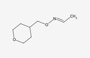 CC=NOCC1CCOCC1